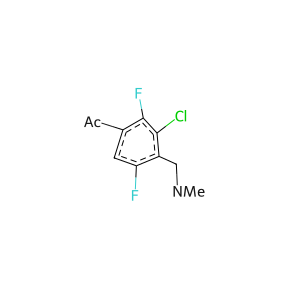 CNCc1c(F)cc(C(C)=O)c(F)c1Cl